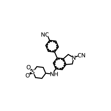 N#Cc1ccc(-c2cc(NC3CCS(=O)(=O)CC3)cc3c2CN(C#N)C3)cc1